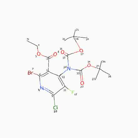 CCOC(=O)c1c(Br)nc(Cl)c(F)c1N(C(=O)OC(C)(C)C)C(=O)OC(C)(C)C